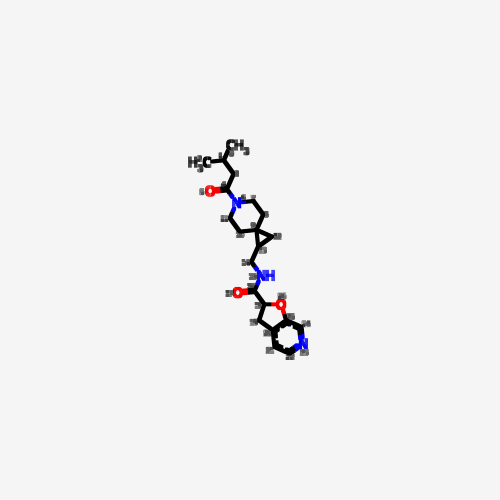 CC(C)CC(=O)N1CCC2(CC1)CC2CNC(=O)C1Cc2ccncc2O1